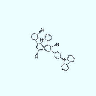 N#Cc1ccc2c(c1)c1cccc(C#N)c1n2-c1ccccc1-c1cccc(-c2ccc(-n3c4ccccc4c4ccccc43)cc2)c1C#N